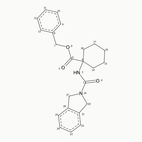 O=C(NC1(C(=O)OCc2ccccc2)CCCCC1)N1Cc2ccccc2C1